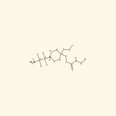 C=C(CCC1(CCC)CCN(C(C)(C)C(C)(C)N)CC1)SCC